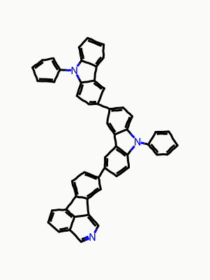 c1ccc(-n2c3ccccc3c3cc(-c4ccc5c(c4)c4cc(-c6ccc7c(c6)-c6cncc8cccc-7c68)ccc4n5-c4ccccc4)ccc32)cc1